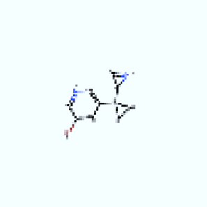 Brc1cncc(C2(C3C=N3)CC2)c1